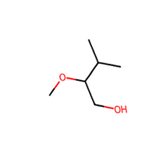 COC(CO)C(C)C